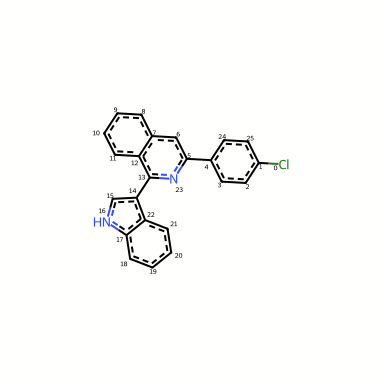 Clc1ccc(-c2cc3ccccc3c(-c3c[nH]c4ccccc34)n2)cc1